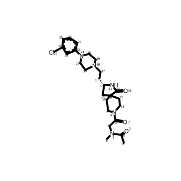 CC(=O)N(C)CC(=O)N1CCC2(CC1)C[C@H](CCN1CCN(c3cccc(Cl)c3)CC1)NC2=O